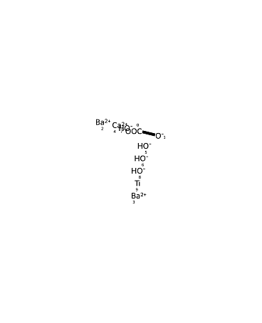 O=C([O-])[O-].[Ba+2].[Ba+2].[Ca+2].[OH-].[OH-].[OH-].[OH-].[Ti]